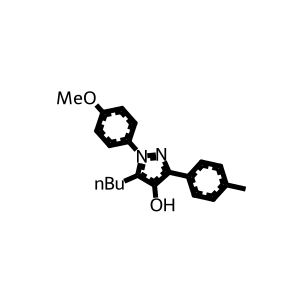 CCCCc1c(O)c(-c2ccc(C)cc2)nn1-c1ccc(OC)cc1